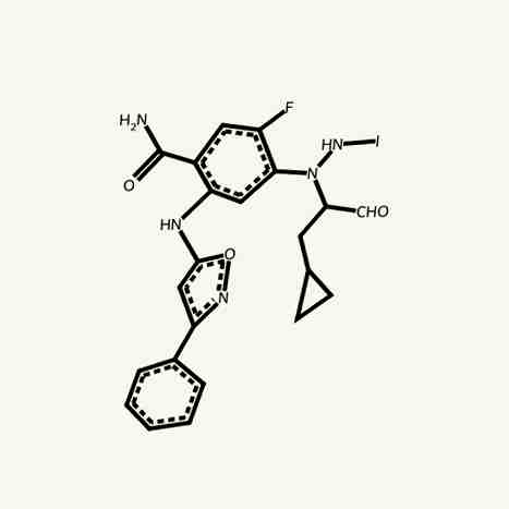 NC(=O)c1cc(F)c(N(NI)C(C=O)CC2CC2)cc1Nc1cc(-c2ccccc2)no1